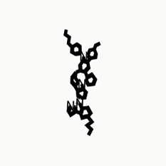 CCCCc1ccc(-n2c3c(c4cc5c(cc42)C2=CC=C4c6cc(-n7c8c(c9cc(CCCC)ccc97)=CC=[N+]=8)ccc6N(c6ccccc6-5)C4C2)C=CC(CC)C3)cc1